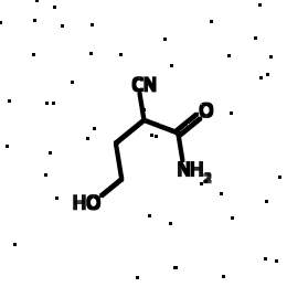 N#CC(CCO)C(N)=O